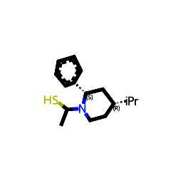 CC(C)[C@@H]1CCN(C(C)S)[C@H](c2ccccc2)C1